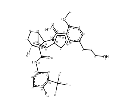 COc1ccc(CCCO)cc1C(=O)NC1C(C(=O)Nc2ccc(F)c(C(F)(F)F)c2)[C@H]2CC[C@@H]1/C2=C\C1CCOC1